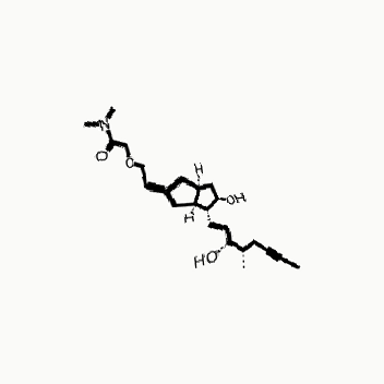 CC#CC[C@H](C)[C@H](O)/C=C/[C@@H]1[C@H]2C/C(=C/COCC(=O)N(C)C)C[C@H]2C[C@H]1O